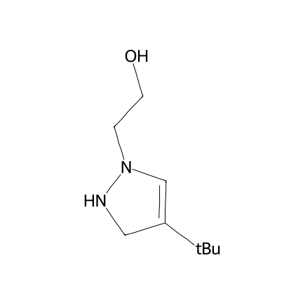 CC(C)(C)C1=CN(CCO)NC1